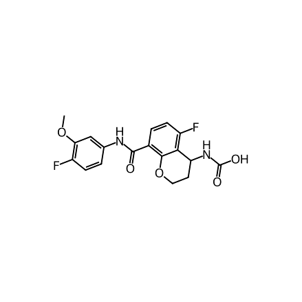 COc1cc(NC(=O)c2ccc(F)c3c2OCCC3NC(=O)O)ccc1F